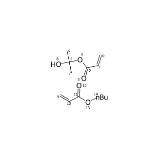 C=CC(=O)OC(C)(C)O.C=CC(=O)OCCCC